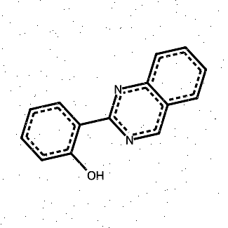 Oc1ccccc1-c1ncc2ccccc2n1